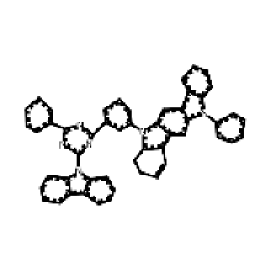 C1=Cc2c(n(-c3cccc(-c4nc(-c5ccccc5)nc(-n5c6ccccc6c6ccccc65)n4)c3)c3cc4c5ccccc5n(-c5ccccc5)c4cc23)CC1